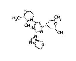 CC1CN(c2cc(N3CCOC(C)C3C)nc(-n3cnc4ccccc43)n2)CC(C)O1